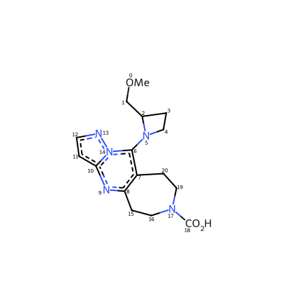 COCC1CCN1c1c2c(nc3ccnn13)CCN(C(=O)O)CC2